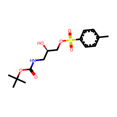 Cc1ccc(S(=O)(=O)OC[C@H](O)CNC(=O)OC(C)(C)C)cc1